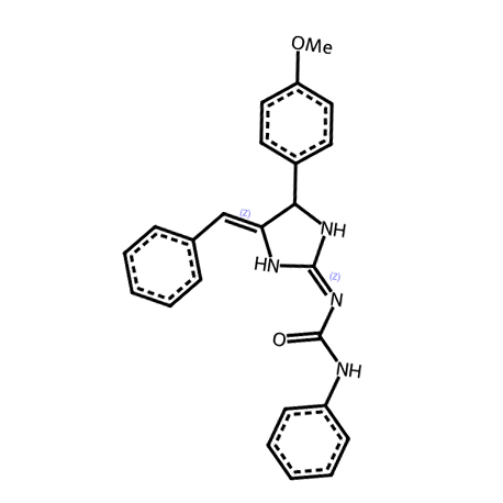 COc1ccc(C2N/C(=N/C(=O)Nc3ccccc3)N/C2=C\c2ccccc2)cc1